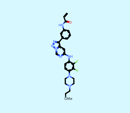 C=CC(=O)Nc1cccc(-c2nnn3cnc(Nc4ccc(N5CCN(CCOC)CC5)c(F)c4F)cc23)c1